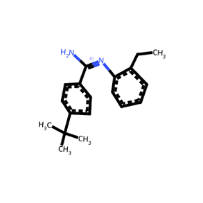 CCc1ccccc1/N=C(/N)c1ccc(C(C)(C)C)cc1